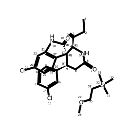 C=C(CC)[C@H]1NC(=O)C[C@@H](c2cccc(Cl)c2)[C@]12C(=O)Nc1cc(Cl)ccc12.COCC[Si](C)(C)C